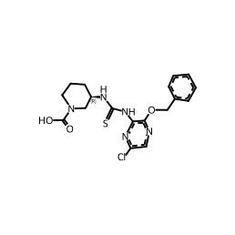 O=C(O)N1CCC[C@@H](NC(=S)Nc2nc(Cl)cnc2OCc2ccccc2)C1